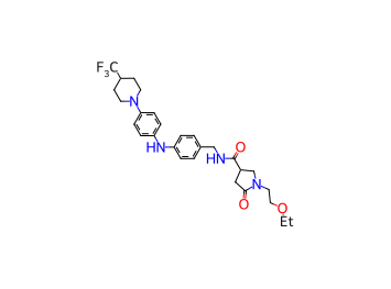 CCOCCN1CC(C(=O)NCc2ccc(Nc3ccc(N4CCC(C(F)(F)F)CC4)cc3)cc2)CC1=O